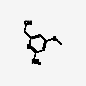 CSc1cc(N)nc(CO)c1